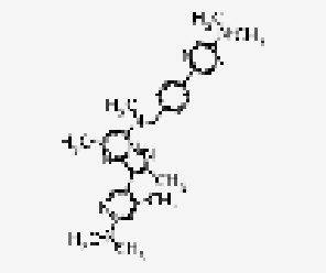 Cc1cc(N(C)Cc2ccc(-c3cnc(N(C)C)cn3)cc2)n2nc(C)c(-c3cnc(N(C)C)cc3C)c2n1